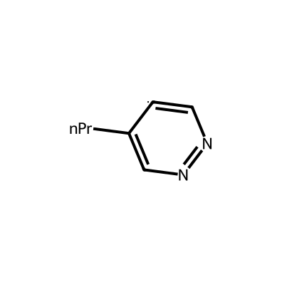 CCCc1[c]cnnc1